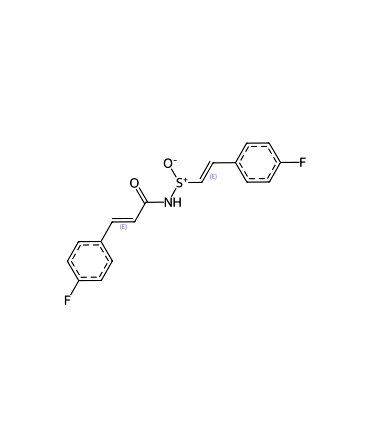 O=C(/C=C/c1ccc(F)cc1)N[S+]([O-])/C=C/c1ccc(F)cc1